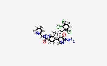 CC(Oc1cc(-c2ccc(C(=O)NCc3ccccn3)cc2)cnc1N)c1c(Cl)ccc(F)c1Cl